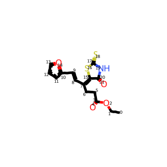 CCOC(=O)CCC(C=Cc1ccco1)=C1SC(=S)NC1=O